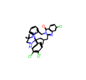 CC(Cc1nc2cc(Cl)ccc2c(=O)n1Cc1ccccc1)CC1(c2ccc(Cl)c(Cl)c2)NCC(C)(C)N1